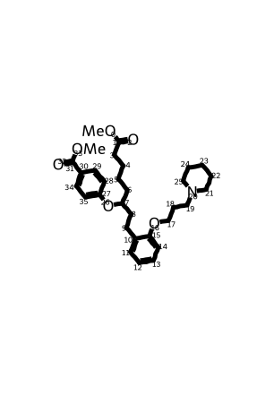 COC(=O)CCCCC(CCc1ccccc1OCCCN1CCCCC1)Oc1ccc(C(=O)OC)cc1